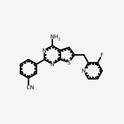 N#Cc1cccc(-c2nc(N)c3cc(Cc4ncccc4F)sc3n2)c1